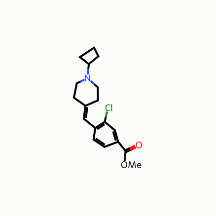 COC(=O)c1ccc(C=C2CCN(C3CCC3)CC2)c(Cl)c1